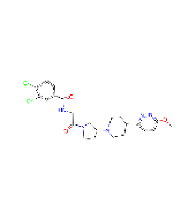 COc1ccc(C2CCN(C3CCN(C(=O)CNC(=O)c4ccc(Cl)c(Cl)c4)C3)CC2)nn1